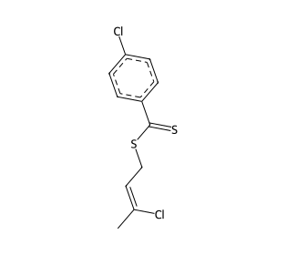 CC(Cl)=CCSC(=S)c1ccc(Cl)cc1